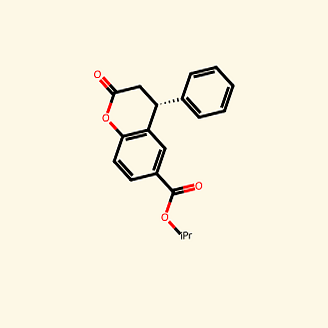 CC(C)OC(=O)c1ccc2c(c1)[C@@H](c1ccccc1)CC(=O)O2